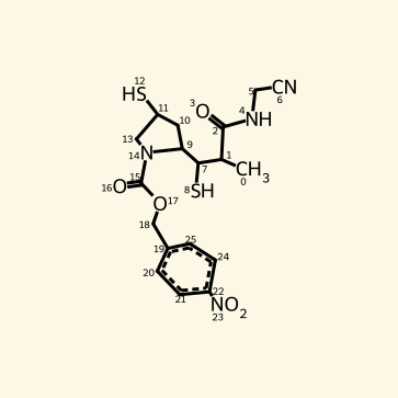 CC(C(=O)NCC#N)C(S)C1CC(S)CN1C(=O)OCc1ccc([N+](=O)[O-])cc1